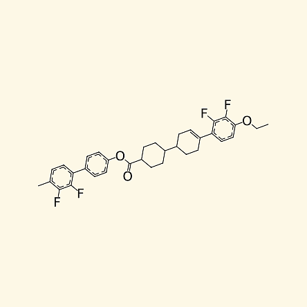 CCOc1ccc(C2=CCC(C3CCC(C(=O)Oc4ccc(-c5ccc(C)c(F)c5F)cc4)CC3)CC2)c(F)c1F